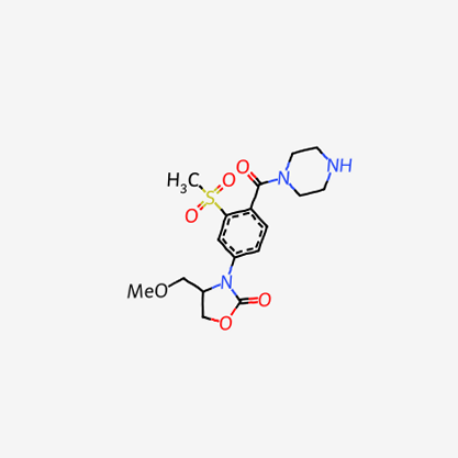 COCC1COC(=O)N1c1ccc(C(=O)N2CCNCC2)c(S(C)(=O)=O)c1